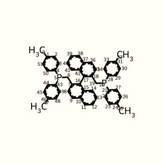 Cc1ccc(P(Cc2ccc3ccccc3c2-c2c(CP(c3ccc(C)cc3)c3ccc(C)cc3)ccc3ccccc23)c2ccc(C)cc2)cc1